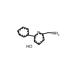 Cl.NCc1cccc(-c2ccccc2)n1